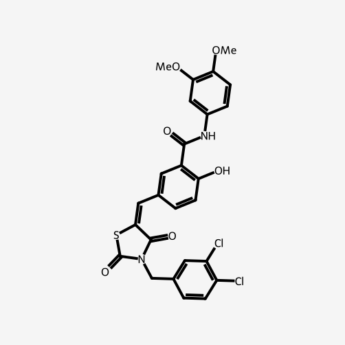 COc1ccc(NC(=O)c2cc(/C=C3/SC(=O)N(Cc4ccc(Cl)c(Cl)c4)C3=O)ccc2O)cc1OC